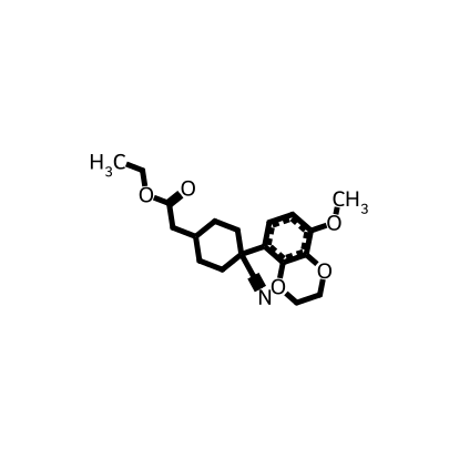 CCOC(=O)CC1CCC(C#N)(c2ccc(OC)c3c2OCCO3)CC1